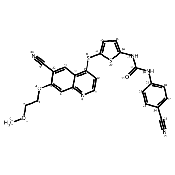 COCCOc1cc2nccc(Sc3ccc(NC(=O)Nc4ccc(C#N)cc4)s3)c2cc1C#N